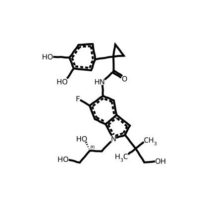 CC(C)(CO)c1cc2cc(NC(=O)C3(c4ccc(O)c(O)c4)CC3)c(F)cc2n1C[C@@H](O)CO